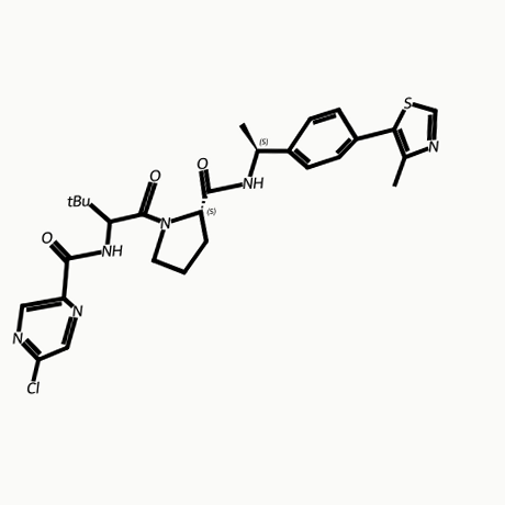 Cc1ncsc1-c1ccc([C@H](C)NC(=O)[C@@H]2CCCN2C(=O)C(NC(=O)c2cnc(Cl)cn2)C(C)(C)C)cc1